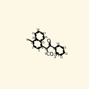 Cc1ccc(C(C(=O)O)C(=O)c2ccccc2)c2ccccc12